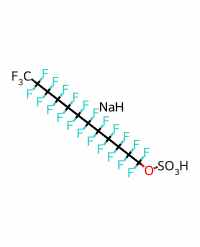 O=S(=O)(O)OC(F)(F)C(F)(F)C(F)(F)C(F)(F)C(F)(F)C(F)(F)C(F)(F)C(F)(F)C(F)(F)C(F)(F)C(F)(F)C(F)(F)F.[NaH]